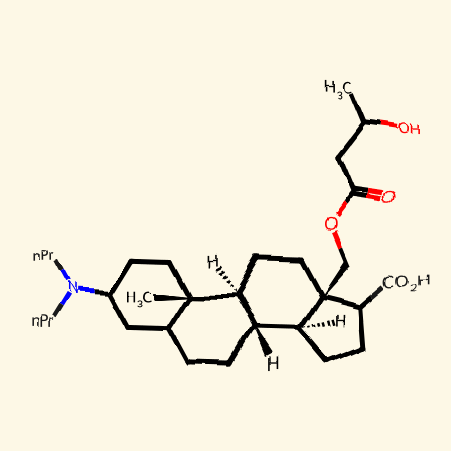 CCCN(CCC)C1CC[C@@]2(C)C(CC[C@H]3[C@@H]4CCC(C(=O)O)[C@@]4(COC(=O)CC(C)O)CC[C@@H]32)C1